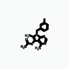 Cc1cccc(Cn2c(N)c(SC(N)=O)c3c(N)ncnc32)c1